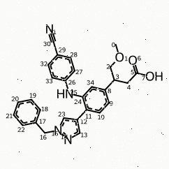 COCC(CC(=O)O)c1ccc(-c2cnn(Cc3ccccc3)c2)c(Nc2ccc(C#N)cc2)c1